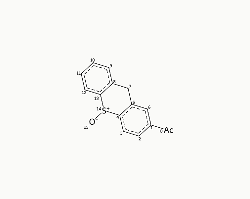 CC(=O)c1ccc2c(c1)Cc1ccccc1[S+]2[O-]